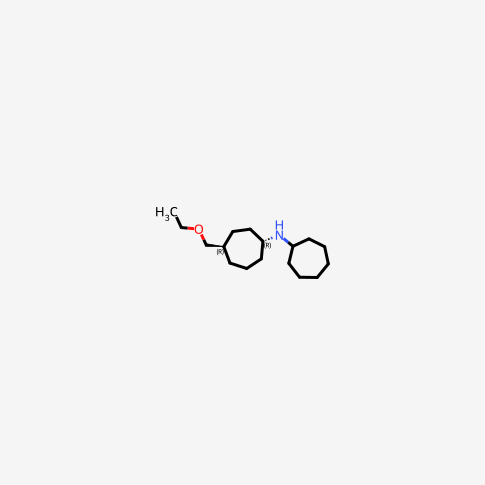 CCOC[C@@H]1CCC[C@@H](NC2CCCCCC2)CC1